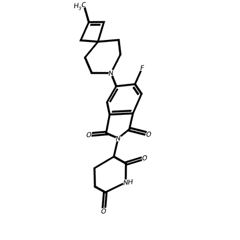 CC1=CC2(CCN(c3cc4c(cc3F)C(=O)N(C3CCC(=O)NC3=O)C4=O)CC2)C1